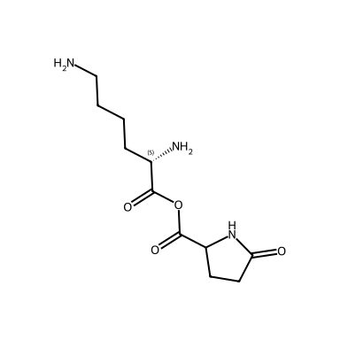 NCCCC[C@H](N)C(=O)OC(=O)C1CCC(=O)N1